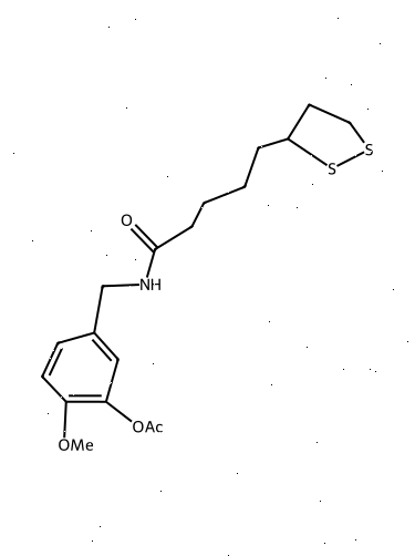 COc1ccc(CNC(=O)CCCCC2CCSS2)cc1OC(C)=O